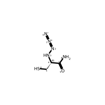 [N-]=[N+]=NN[C@@H](CS)C(N)=O